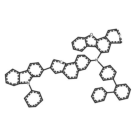 c1ccc(-c2ccccc2-c2ccc(N(c3ccc4c(ccc5cc(-c6ccc7c8ccccc8n(-c8ccccc8)c7c6)ccc54)c3)c3cc4ccccc4c4oc5ccccc5c34)cc2)cc1